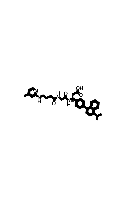 Cc1ccnc(NCCCC(=O)NCC(=O)N[C@@H](CC(=O)O)c2ccc(-c3ccc(C(C)C)c4ccccc34)cc2)c1